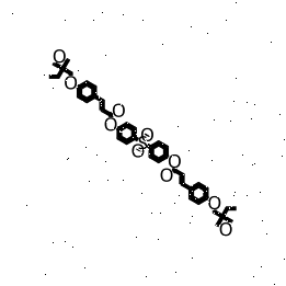 CCC1(COc2ccc(/C=C/C(=O)Oc3ccc(S(=O)(=O)c4ccc(OC(=O)/C=C/c5ccc(OCC6(CC)COC6)cc5)cc4)cc3)cc2)COC1